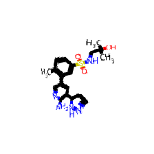 Cc1ccc(S(=O)(=O)NCC(C)(C)O)cc1-c1cnc(N)c(-c2ccn[nH]2)c1